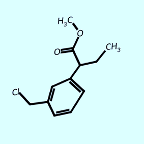 CCC(C(=O)OC)c1cccc(CCl)c1